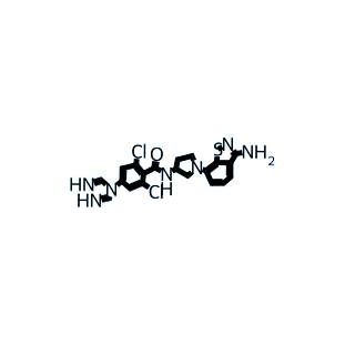 N=CN(C=N)c1cc(Cl)c(C(=O)NC2CCN(c3cccc4c(N)nsc34)C2)c(Cl)c1